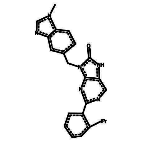 CC(C)c1ccccc1-c1ncc2[nH]c(=O)n(Cc3ccc4c(c3)ncn4C)c2n1